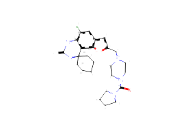 C=C1Nc2c(Cl)cc3cc(CN4CCN(C(=O)N5CCCC5)CC4)oc3c2C2(CCCCC2)N1